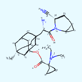 CN(C)C1(C(=O)OC23CC4C[C@H](C2)CC([C@H](N)C(=O)N2C5CC5C[C@H]2C#N)(C4)C3)CC1